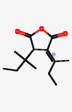 CC/C(C)=C1/C(=O)OC(=O)C1C(C)(C)CC